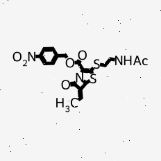 CC=C1C(=O)N2C(C(=O)OCc3ccc([N+](=O)[O-])cc3)=C(SCCNC(C)=O)SC12